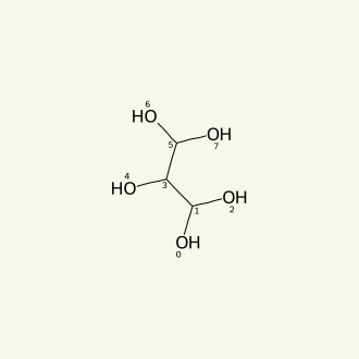 OC(O)C(O)C(O)O